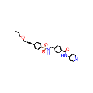 CCCOCC#Cc1ccc(S(=O)(=O)NCc2ccc(C(=O)Nc3ccncc3)cc2)cc1